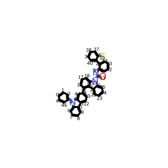 c1ccc(-n2c3ccccc3c3ccc(-c4cccc5c4c4ccccc4n5-c4nc5c(ccc6sc7ccccc7c65)o4)cc32)cc1